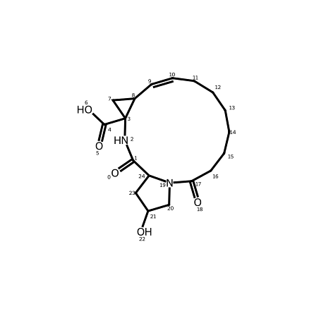 O=C1NC2(C(=O)O)CC2C=CCCCCCCC(=O)N2CC(O)CC12